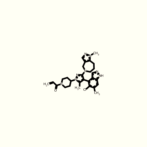 C=CC(=O)N1CCC(n2nc(N3CCCc4c(cnn4C)C3)c(-c3c(Cl)c(C)cc4[nH]ncc34)c2C)CC1